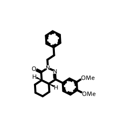 COc1ccc(C2=NN(CCc3ccccc3)C(=O)[C@H]3CCCC[C@@H]23)cc1OC